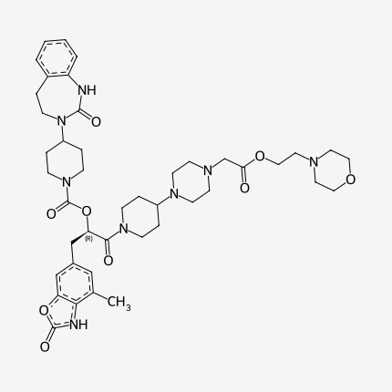 Cc1cc(C[C@@H](OC(=O)N2CCC(N3CCc4ccccc4NC3=O)CC2)C(=O)N2CCC(N3CCN(CC(=O)OCCN4CCOCC4)CC3)CC2)cc2oc(=O)[nH]c12